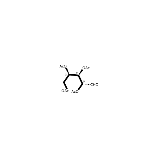 CC(=O)OC[C@@H](OC(C)=O)[C@@H](OC(C)=O)[C@H](C=O)OC(C)=O